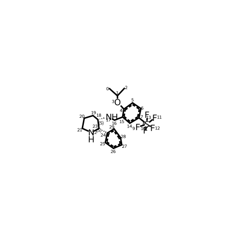 CC(C)Oc1ccc(S(F)(F)(F)(F)F)cc1CN[C@H]1CCCN[C@H]1c1ccccc1